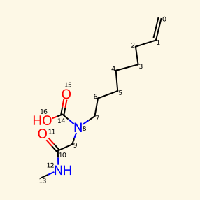 C=CCCCCCCN(CC(=O)NC)C(=O)O